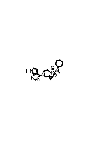 CN(C1CCCCC1)S(=O)(=O)N1CCN(c2ncnc3[nH]ccc23)CC12CC2